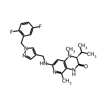 Cc1nc(NCc2cnn(Cc3cc(F)ccc3F)c2)cc2c1NC(=O)[C@H](C(C)C)N2C